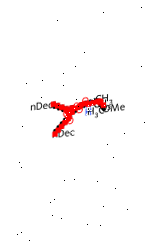 CCCCCCCCCCCCCCCCCC(=O)OC[C@@H]1C[C@@H](OC(=O)CCC(=O)NCCCC(C)(C)OCCC(C)OC)CN1C(=O)CCCCCCCCCCCCCCCCC